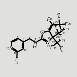 FC(=C1SC(NCc2ccnc(F)c2)=NC1(C(F)(F)F)C(F)(F)F)C(F)(F)F